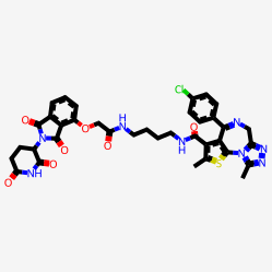 Cc1sc2c(c1C(=O)NCCCCNC(=O)COc1cccc3c1C(=O)N(C1CCC(=O)NC1=O)C3=O)C(c1ccc(Cl)cc1)=NCc1nnc(C)n1-2